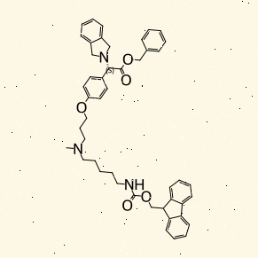 CN(CCCCCNC(=O)OCC1c2ccccc2-c2ccccc21)CCCOc1ccc([C@@H](C(=O)OCc2ccccc2)N2Cc3ccccc3C2)cc1